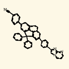 N#Cc1ccc(-c2cc3c4c(ccc5cc(-c6ccc(-c7cn8cccnc8n7)cc6)cc(c54)C3(c3ccccc3)c3ccccc3)c2)cc1